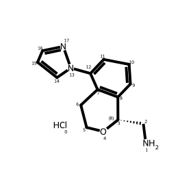 Cl.NC[C@@H]1OCCc2c1cccc2-n1cccn1